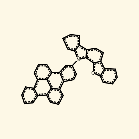 c1ccc2c(c1)oc1c2ccc2c3ccccc3n(-c3ccc4c(c3)c3cccc5c6ccccc6c6cccc4c6c53)c21